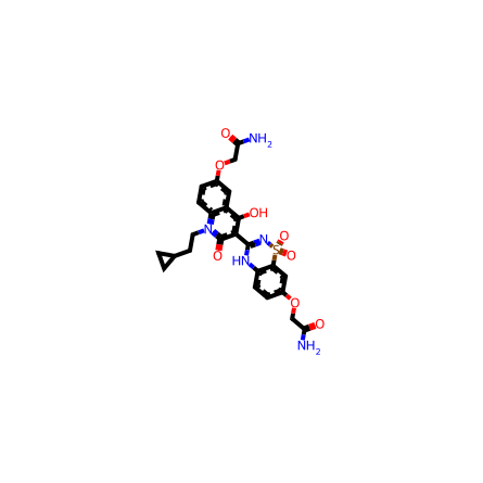 NC(=O)COc1ccc2c(c1)S(=O)(=O)N=C(c1c(O)c3cc(OCC(N)=O)ccc3n(CCC3CC3)c1=O)N2